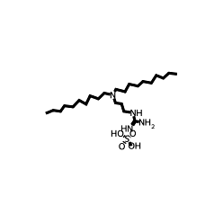 CCCCCCCCCCN(CCCCCCCCCC)CCCNC(=N)N.O=S(=O)(O)O